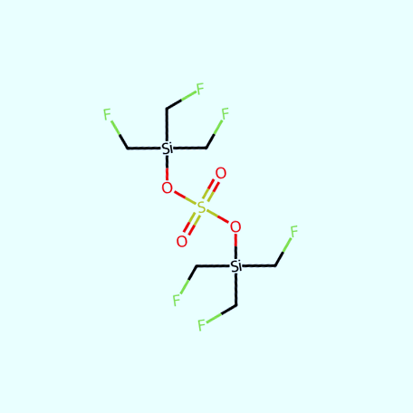 O=S(=O)(O[Si](CF)(CF)CF)O[Si](CF)(CF)CF